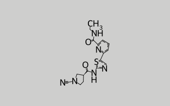 CCNC(=O)c1cccc(-c2cnc(NC(=O)[C@H]3CCN(C#N)C3)s2)n1